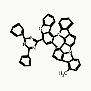 Cc1cccc2c1c1cccc3c4c5c(ccc4n2c13)c1ccccc1n5-c1c(C#N)cc(-c2nc(-c3ccccc3)nc(-c3ccccc3)n2)c2oc3ccccc3c12